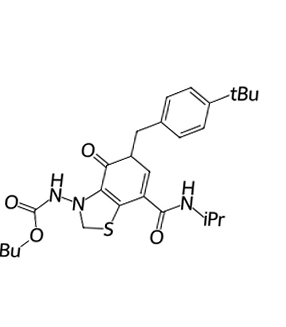 CC(C)NC(=O)C1=CC(Cc2ccc(C(C)(C)C)cc2)C(=O)C2=C1SCN2NC(=O)OC(C)(C)C